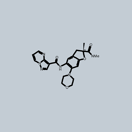 CNC(=O)[C@@]1(C)Cc2cc(NC(=O)c3cnn4cccnc34)c(N3CCOCC3)cc2O1